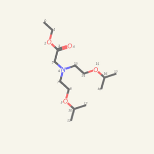 CCOC(=O)CN(CCOC(C)C)CCOC(C)C